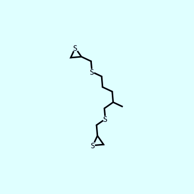 CC(CCCSCC1CS1)CSCC1CS1